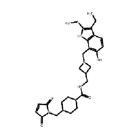 CCc1c(SC)[nH]c2c(CN3CC(CNC(=O)C4CCC(CN5C(=O)C=CC5=O)CC4)C3)c(O)ccc12